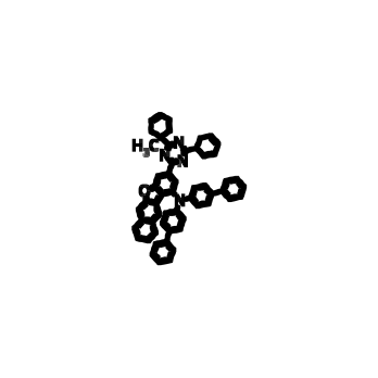 CC1(c2nc(-c3cc(N(c4ccc(-c5ccccc5)cc4)c4ccc(-c5ccccc5)cc4)c4c(c3)oc3cc5ccccc5cc34)nc(C3C=CC=CC3)n2)C=CC=CC1